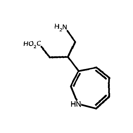 NCC(CC(=O)O)C1=CNC=CC=C1